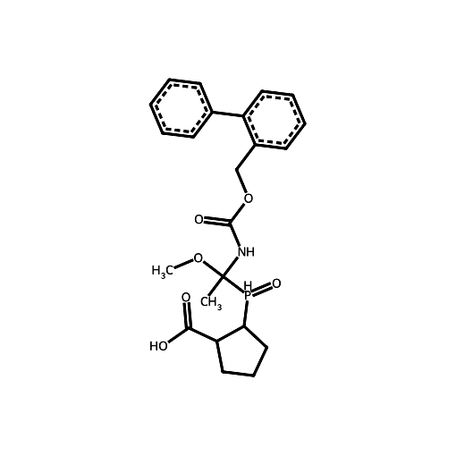 COC(C)(NC(=O)OCc1ccccc1-c1ccccc1)[PH](=O)C1CCCC1C(=O)O